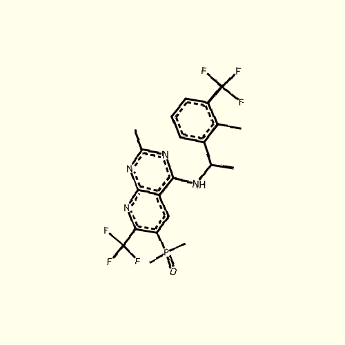 Cc1nc(NC(C)c2cccc(C(F)(F)F)c2C)c2cc(P(C)(C)=O)c(C(F)(F)F)nc2n1